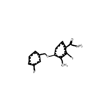 Cc1c(OCc2cccc(F)c2)ccc(C(N)=O)c1F